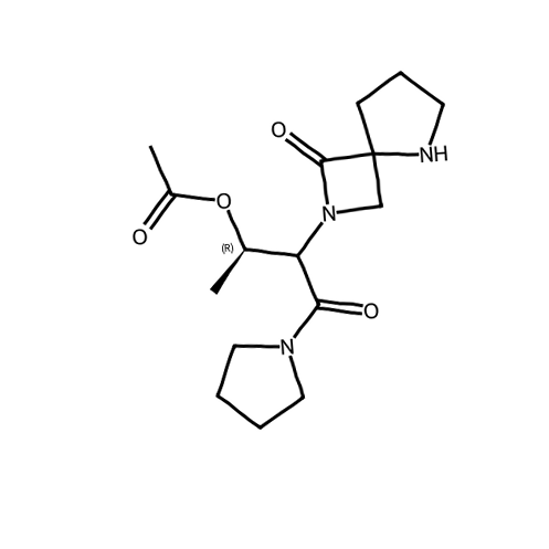 CC(=O)O[C@H](C)C(C(=O)N1CCCC1)N1CC2(CCCN2)C1=O